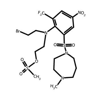 CN1CCCN(S(=O)(=O)c2cc([N+](=O)[O-])cc(C(F)(F)F)c2N(CCBr)CCOS(C)(=O)=O)CC1